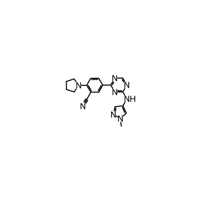 Cn1cc(Nc2ncnc(-c3ccc(N4CCCC4)c(C#N)c3)n2)cn1